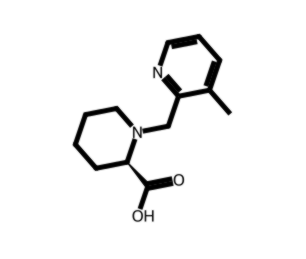 Cc1cccnc1CN1CCCC[C@@H]1C(=O)O